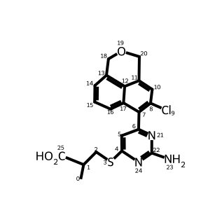 CC(CSc1cc(-c2c(Cl)cc3c4c(cccc24)COC3)nc(N)n1)C(=O)O